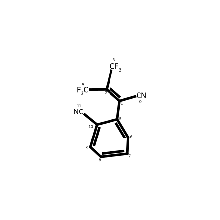 N#CC(=C(C(F)(F)F)C(F)(F)F)c1ccccc1C#N